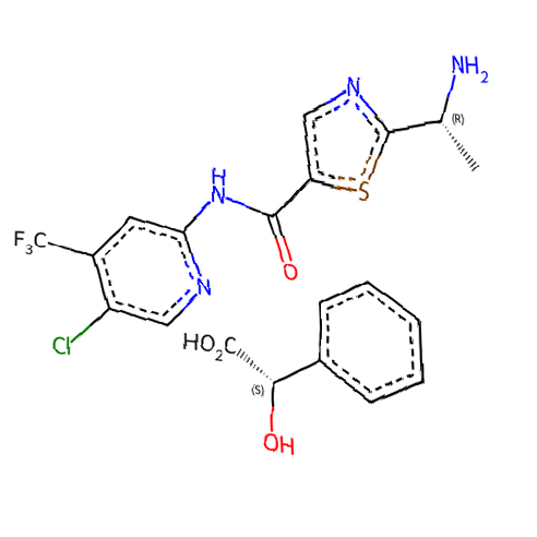 C[C@@H](N)c1ncc(C(=O)Nc2cc(C(F)(F)F)c(Cl)cn2)s1.O=C(O)[C@@H](O)c1ccccc1